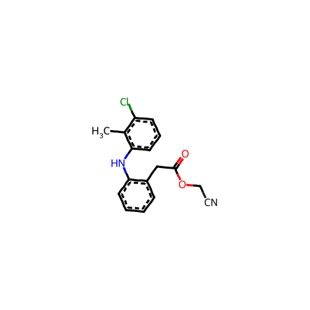 Cc1c(Cl)cccc1Nc1ccccc1CC(=O)OCC#N